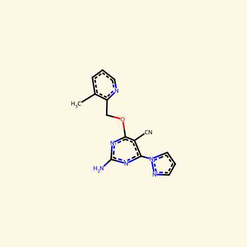 Cc1cccnc1COc1nc(N)nc(-n2cccn2)c1C#N